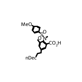 CCCCCCCCCCCCc1cc(C)c(N(C)S(=O)(=O)c2ccc(OC)cc2)c(C(=O)O)c1